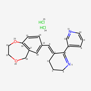 C(=C1CCCN=C1c1cccnc1)c1ccc2c(c1)COCCO2.Cl.Cl